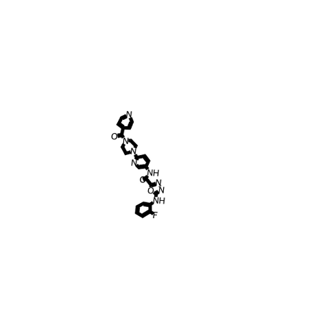 O=C(Nc1ccc(N2CCN(C(=O)c3ccncc3)CC2)nc1)c1nnc(Nc2ccccc2F)o1